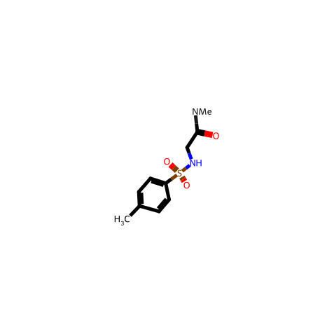 CNC(=O)CNS(=O)(=O)c1ccc(C)cc1